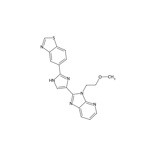 COCCn1c(-c2c[nH]c(-c3ccc4scnc4c3)n2)nc2cccnc21